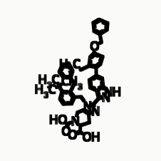 CCc1cc(OCc2ccccc2)ccc1-c1ccc2c(-c3nc4c(n3Cc3cccc(C(C)(C)C)c3Cc3ccccc3)CN(C(=O)O)C(C(=O)O)C4)n[nH]c2c1